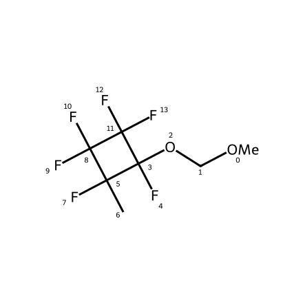 COCOC1(F)C(C)(F)C(F)(F)C1(F)F